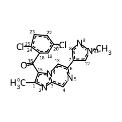 Cc1nc2cnc(-c3cnn(C)c3)cn2c1C(=O)c1cc(Cl)ccc1Cl